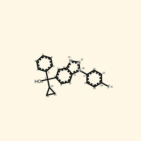 OC(c1ccccc1)(c1ccc2c(c1)nnn2-c1ccc(F)cc1)C1CC1